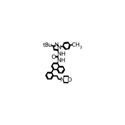 Cc1ccc(-n2nc(C(C)(C)C)cc2NC(=O)Nc2ccc(-c3ccccc3CCN3CCOCC3)c3ccccc23)cc1